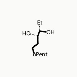 CCCCCCC[C@H](O)[C@@H](O)CC